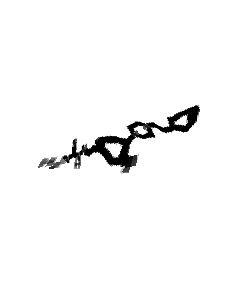 NC(=S)NN=Cc1ccc(N2CCN(CCc3ccccc3)CC2)c(F)c1